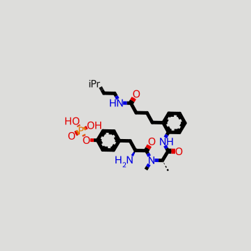 CC(C)CCNC(=O)CCCc1ccccc1NC(=O)[C@H](C)N(C)C(=O)[C@@H](N)Cc1ccc(OP(=O)(O)O)cc1